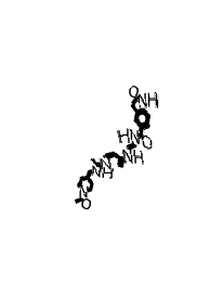 C=C(/C=C\N=C(/C)NCC1CCN(C(C)=O)CC1)NCCNC(=O)c1ccc2c(c1)CC(=O)N2